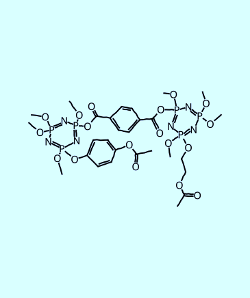 COP1(OC)=NP(OC)(OC(=O)c2ccc(C(=O)OP3(OC)=NP(OC)(Oc4ccc(OC(C)=O)cc4)=NP(OC)(OC)=N3)cc2)=NP(OC)(OCCOC(C)=O)=N1